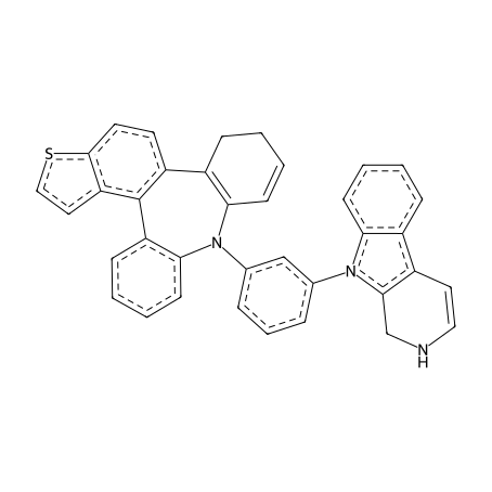 C1=CC2=C(CC1)c1ccc3sccc3c1-c1ccccc1N2c1cccc(-n2c3c(c4ccccc42)C=CNC3)c1